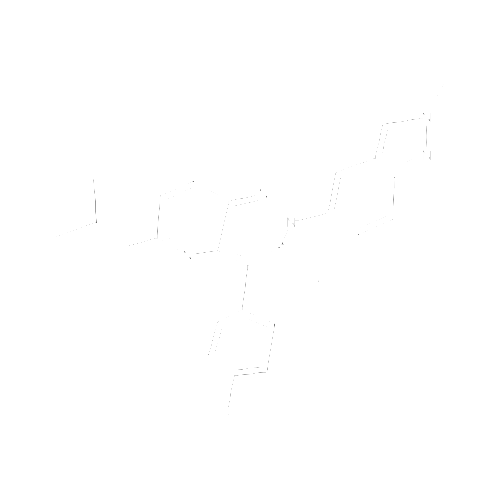 CC(C)Oc1ccc2nn(-c3ccc4nn(C)cc4c3)c(=O)c(-c3ccc(Br)cc3)c2n1